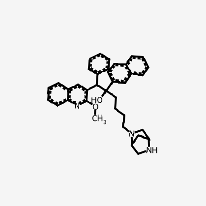 COc1nc2ccccc2cc1C(c1ccccc1)C(O)(CCCCN1CC2CC1CN2)c1ccc2ccccc2c1